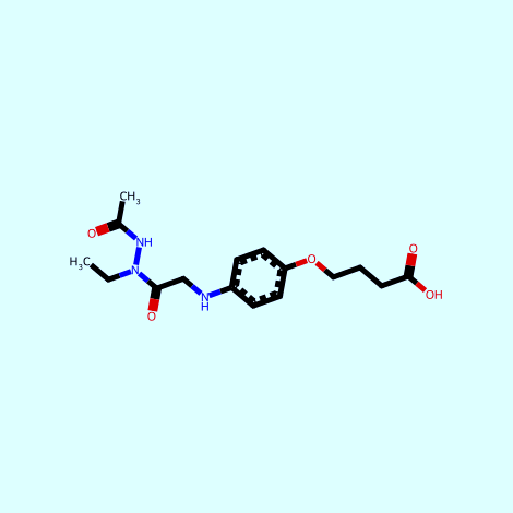 CCN(NC(C)=O)C(=O)CNc1ccc(OCCCC(=O)O)cc1